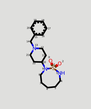 O=S1(=O)NCCCCCN1C1CCN(Cc2ccccc2)CC1